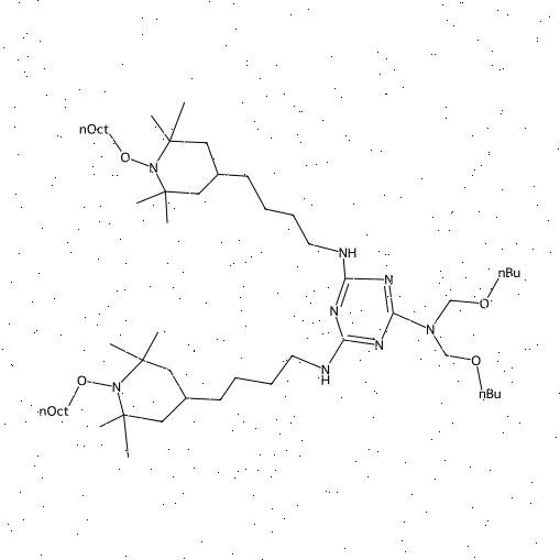 CCCCCCCCON1C(C)(C)CC(CCCCNc2nc(NCCCCC3CC(C)(C)N(OCCCCCCCC)C(C)(C)C3)nc(N(COCCCC)COCCCC)n2)CC1(C)C